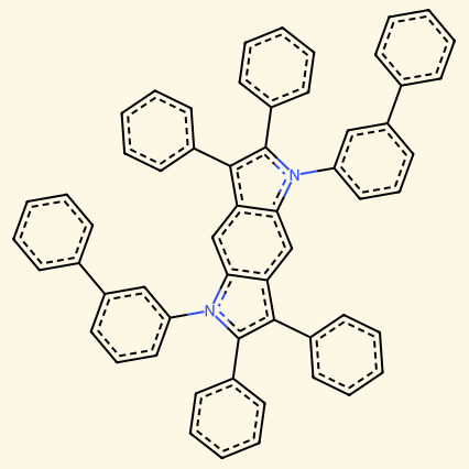 c1ccc(-c2cccc(-n3c(-c4ccccc4)c(-c4ccccc4)c4cc5c(cc43)c(-c3ccccc3)c(-c3ccccc3)n5-c3cccc(-c4ccccc4)c3)c2)cc1